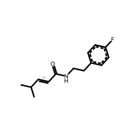 CC(C)/C=C/C(=O)NCCc1ccc(F)cc1